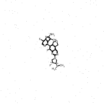 CN(C)[C@@H]1CN(c2ncc3c4c(c(-c5ncc(F)c6sc(N)c(C#N)c56)c(F)c3n2)COC4)C[C@H]1F